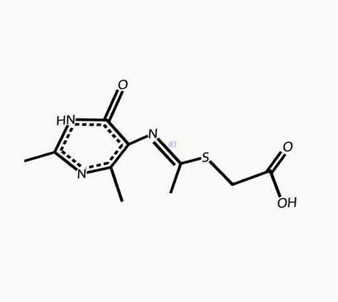 C/C(=N\c1c(C)nc(C)[nH]c1=O)SCC(=O)O